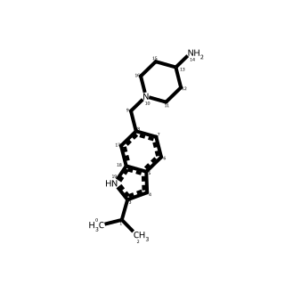 CC(C)c1cc2ccc(CN3CCC(N)CC3)cc2[nH]1